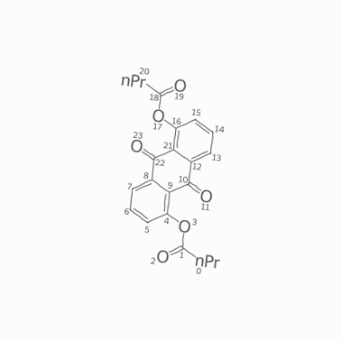 CCCC(=O)Oc1cccc2c1C(=O)c1cccc(OC(=O)CCC)c1C2=O